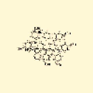 Cn1c2ccccc2c2c(N3c4ccc(C(C)(C)C)cc4B4c5cc(C(C)(C)C)ccc5N(c5ccc(C(C)(C)C)cc5)c5cc(N(c6ccc(C(C)(C)C)cc6)c6ccc(C(C)(C)C)cc6)cc3c54)ccc(N(c3ccc(C(C)(C)C)cc3)c3ccc(C(C)(C)C)cc3)c21